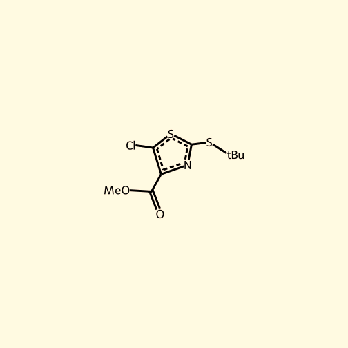 COC(=O)c1nc(SC(C)(C)C)sc1Cl